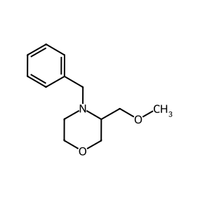 COCC1COCCN1Cc1ccccc1